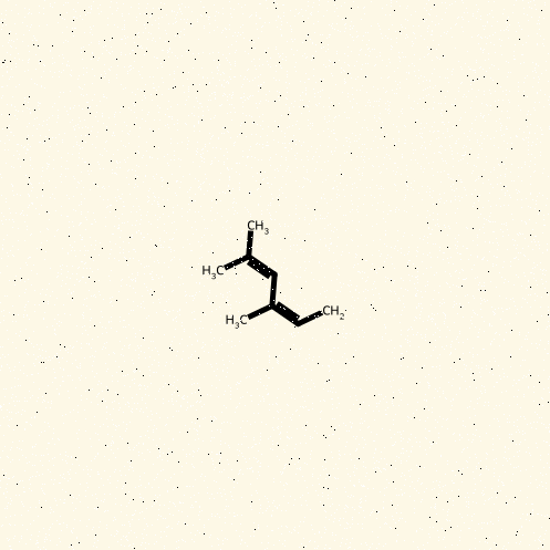 [CH2]C=C(C)C=C(C)C